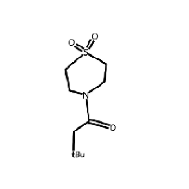 CC(C)(C)CC(=O)N1CCS(=O)(=O)CC1